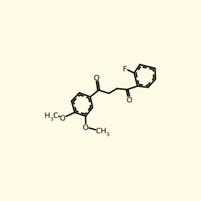 COc1ccc(C(=O)CCC(=O)c2ccccc2F)cc1OC